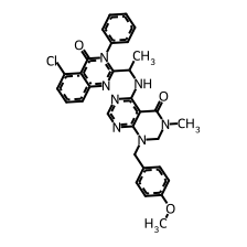 COc1ccc(CN2CN(C)C(=O)c3c(NC(C)c4nc5cccc(Cl)c5c(=O)n4-c4ccccc4)ncnc32)cc1